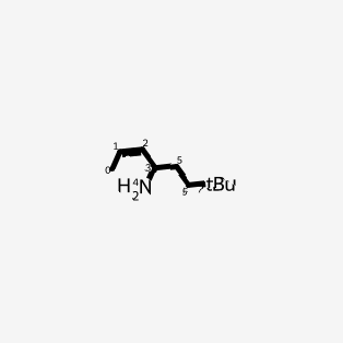 C/C=C\C(N)CCC(C)(C)C